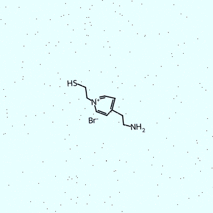 NCCc1cc[n+](CCS)cc1.[Br-]